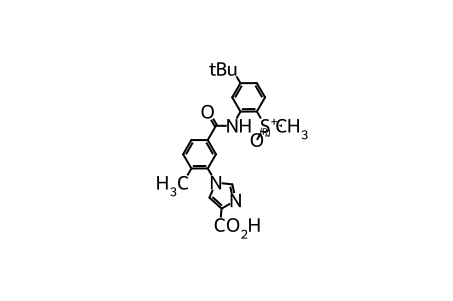 Cc1ccc(C(=O)Nc2cc(C(C)(C)C)ccc2[S@+](C)[O-])cc1-n1cnc(C(=O)O)c1